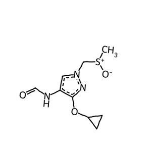 C[S+]([O-])Cn1cc(NC=O)c(OC2CC2)n1